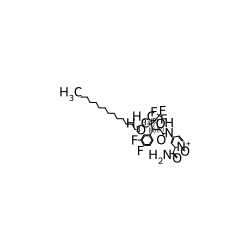 CCCCCCCCCCCCCCOc1c([C@H]2[C@@H](C)[C@](C)(C(F)(F)F)O[C@H]2C(=O)NC2=CC(C(N)=O)[N+](=O)C=C2)ccc(F)c1F